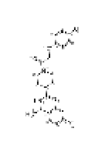 CC(NC(=O)C1CCN(C(=O)COc2ccc(Cl)cc2)CC1)c1ccc(Cl)cc1